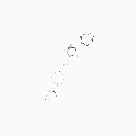 CC(C)(C)OC(=O)N1CCC(OCc2nnc(-c3ccncc3)s2)CC1